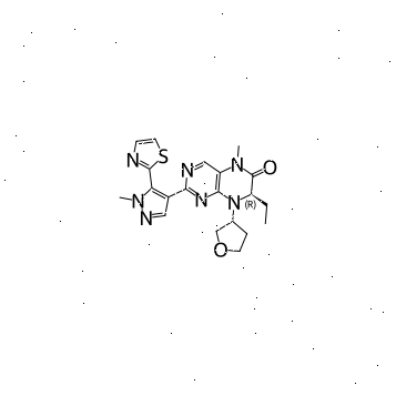 CC[C@@H]1C(=O)N(C)c2cnc(-c3cnn(C)c3-c3nccs3)nc2N1C1CCOC1